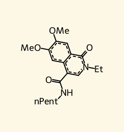 CCCCCNC(=O)c1cn(CC)c(=O)c2cc(OC)c(OC)cc12